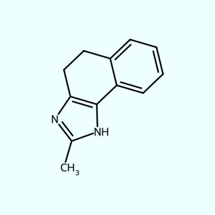 Cc1nc2c([nH]1)-c1ccccc1CC2